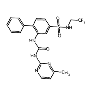 Cc1ccnc(NC(=O)Nc2cc(S(=O)(=O)NCC(F)(F)F)ccc2-c2ccccc2)n1